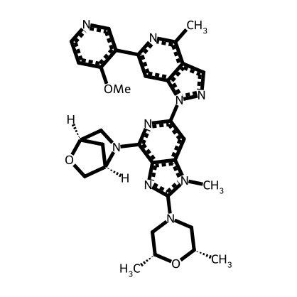 COc1ccncc1-c1cc2c(cnn2-c2cc3c(nc(N4C[C@@H](C)O[C@@H](C)C4)n3C)c(N3C[C@H]4C[C@@H]3CO4)n2)c(C)n1